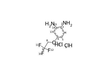 Cl.Cl.Nc1ccc(OCC(F)(F)F)cc1N